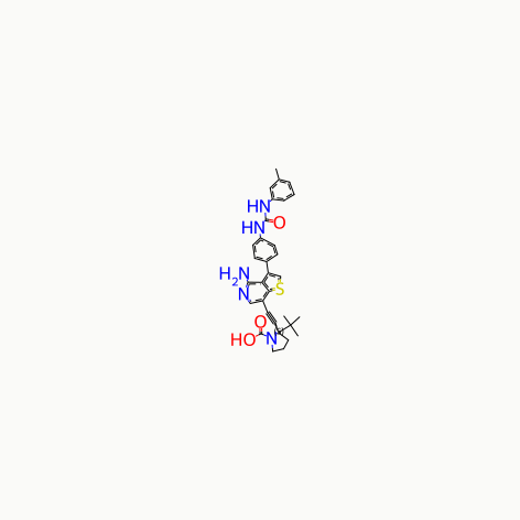 Cc1cccc(NC(=O)Nc2ccc(-c3csc4c(C#C[C@@]5(C(C)(C)C)CCCN5C(=O)O)cnc(N)c34)cc2)c1